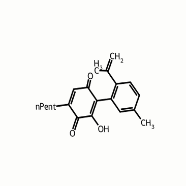 C=C(C)c1ccc(C)cc1C1=C(O)C(=O)C(CCCCC)=CC1=O